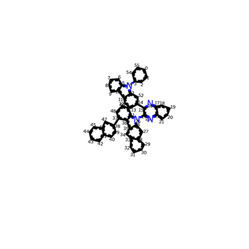 c1ccc(-n2c3ccccc3c3ccc(-c4nc5ccccc5nc4-n4c5cc6ccccc6cc5c5c(-c6ccc7ccccc7c6)cccc54)cc32)cc1